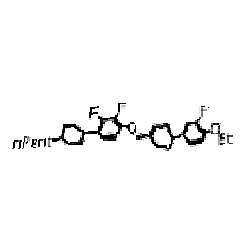 CCCCCC1CCC(c2ccc(OCc3ccc(-c4ccc(OCC)c(F)c4)cc3)c(F)c2F)CC1